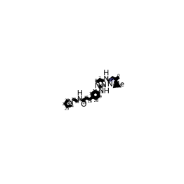 C=C(/C=C(\NC)Nc1ccnc(Nc2ccc(CCC(=O)NCCN3CCCC3)cc2)n1)C1CC1